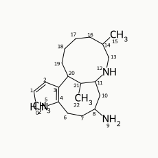 C/C=C\C1=C(/N)CCC(N)CC2NCC(C)CCCCC1C2C